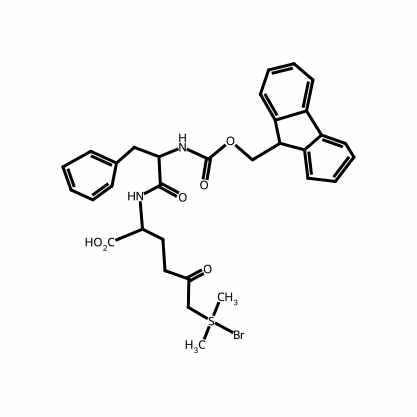 CS(C)(Br)CC(=O)CCC(NC(=O)C(Cc1ccccc1)NC(=O)OCC1c2ccccc2-c2ccccc21)C(=O)O